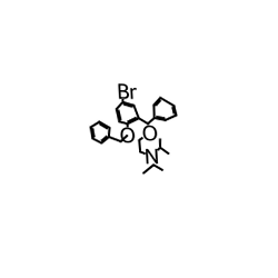 CC(C)N(CCOC(c1ccccc1)c1cc(Br)ccc1OCc1ccccc1)C(C)C